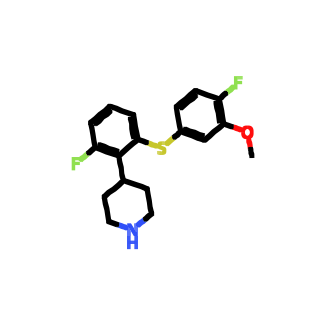 COc1cc(Sc2cccc(F)c2C2CCNCC2)ccc1F